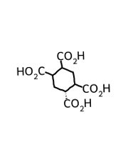 O=C(O)C1CC(C(=O)O)[C@H](C(=O)O)CC1C(=O)O